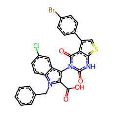 O=C(O)c1c(-n2c(=O)[nH]c3scc(-c4ccc(Br)cc4)c3c2=O)c2cc(Cl)ccc2n1Cc1ccccc1